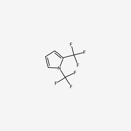 FC(F)(F)c1cccn1C(F)(F)F